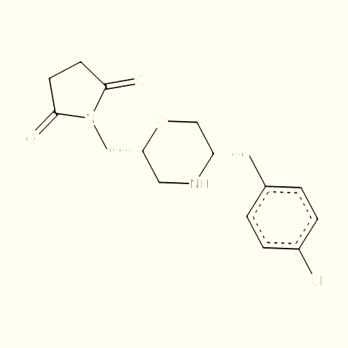 O=C1CCC(=O)N1C[C@H]1CN[C@@H](Cc2ccc(Cl)cc2)CO1